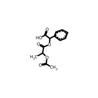 CC(=O)OC(C)C(=O)OC(C(=O)O)c1ccccc1